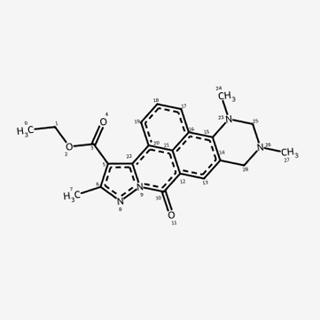 CCOC(=O)c1c(C)nn2c(=O)c3cc4c(c5cccc(c53)c12)N(C)CN(C)C4